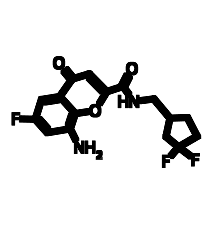 Nc1cc(F)cc2c(=O)cc(C(=O)NCC3CCC(F)(F)C3)oc12